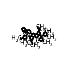 CCC(C)c1cc(N(c2cc(C)cc(C)c2)c2cc(C)cc(C)c2)c2ccc3c4cc(C(C)CC)cc(N(c5ccc(C(C)C)cc5)c5cccc6c5oc5ccccc56)c4ccc3c2c1